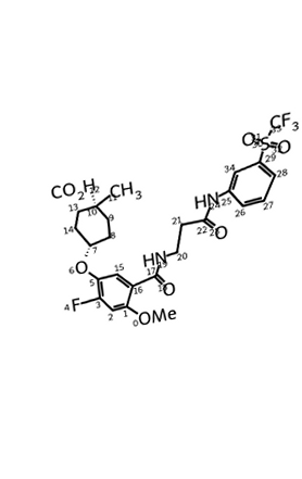 COc1cc(F)c(O[C@H]2CC[C@@](C)(C(=O)O)CC2)cc1C(=O)NCCC(=O)Nc1cccc(S(=O)(=O)C(F)(F)F)c1